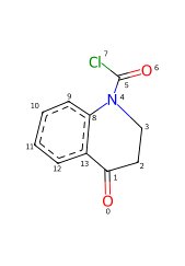 O=C1CCN(C(=O)Cl)c2ccccc21